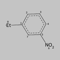 C[CH]c1cccc([N+](=O)[O-])c1